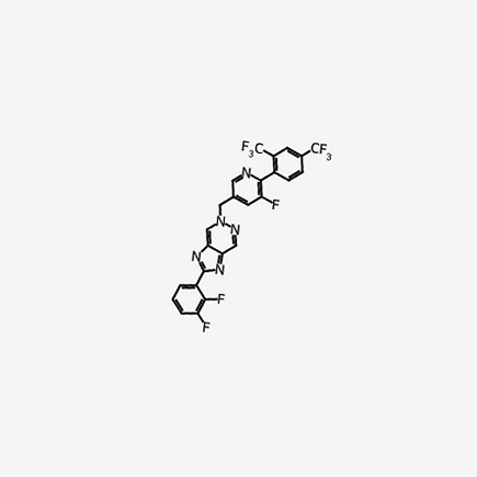 Fc1cc(Cn2cc3nc(-c4cccc(F)c4F)nc-3cn2)cnc1-c1ccc(C(F)(F)F)cc1C(F)(F)F